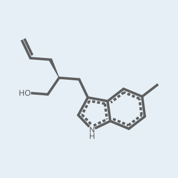 C=CC[C@H](CO)Cc1c[nH]c2ccc(C)cc12